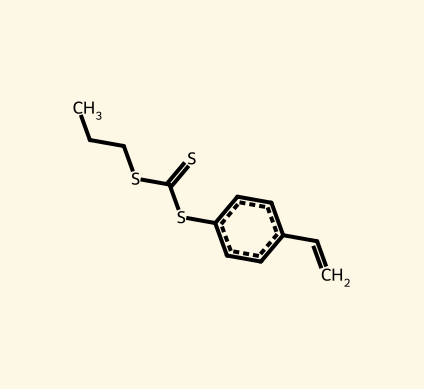 C=Cc1ccc(SC(=S)SCCC)cc1